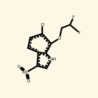 O=[SH](=O)c1c[nH]c2c(OCC(F)F)c(Cl)ccc12